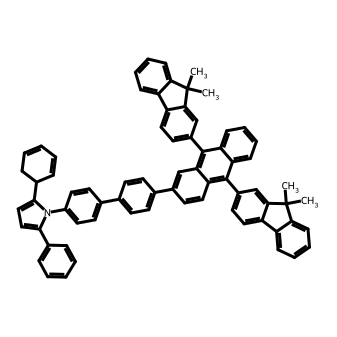 CC1(C)c2ccccc2-c2ccc(-c3c4ccccc4c(-c4ccc5c(c4)C(C)(C)c4ccccc4-5)c4cc(-c5ccc(-c6ccc(-n7c(-c8ccccc8)ccc7C7C=CC=CC7)cc6)cc5)ccc34)cc21